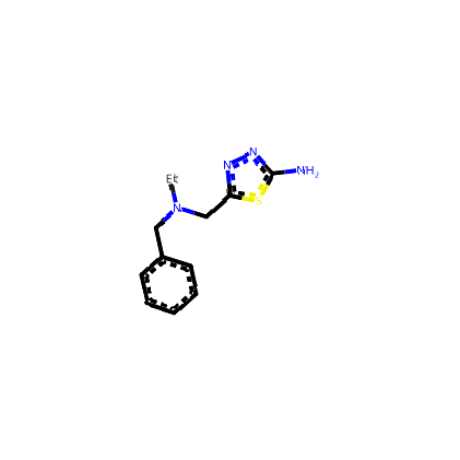 CCN(Cc1ccccc1)Cc1nnc(N)s1